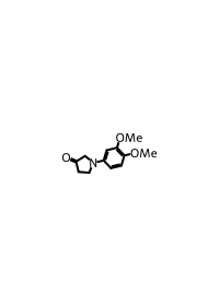 COc1ccc(N2CCC(=O)C2)cc1OC